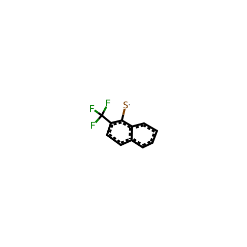 FC(F)(F)c1ccc2ccccc2c1[S]